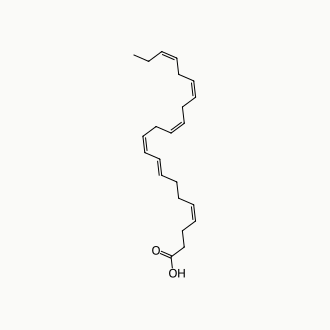 CC/C=C\C/C=C\C/C=C\C/C=C\C=C\CC/C=C\CCC(=O)O